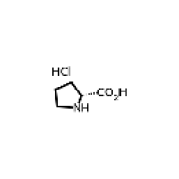 Cl.O=C(O)[C@H]1CCCN1